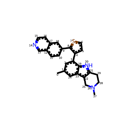 Cc1cc(-c2ccsc2-c2ccc3cnccc3c2)c2[nH]c3c(c2c1)CN(C)CC3